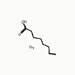 CCCCCCCC(=O)O.[Dy]